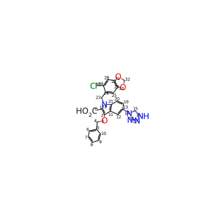 O=C(O)c1c(OCc2ccccc2)c2cc(N3CNN=N3)ccc2n1Cc1cc2c(cc1Cl)OCO2